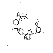 CCOc1cccc(Cn2ncc3c(N4CCN(C(=O)[C@H]5CC[C@H](CN(C)C(=O)OC(C)(C)C)CC5)CC4)ncnc32)c1